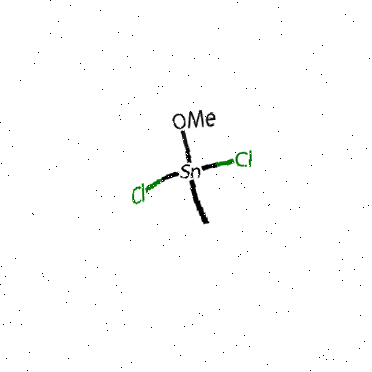 C[O][Sn]([CH3])([Cl])[Cl]